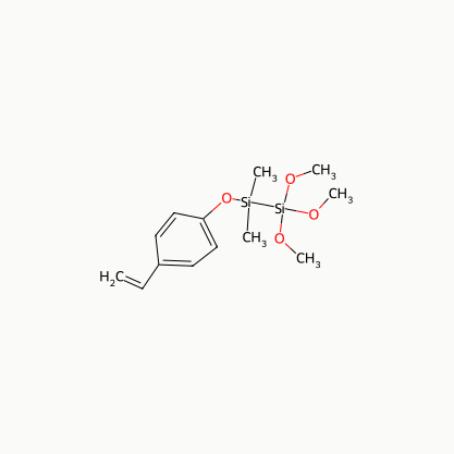 C=Cc1ccc(O[Si](C)(C)[Si](OC)(OC)OC)cc1